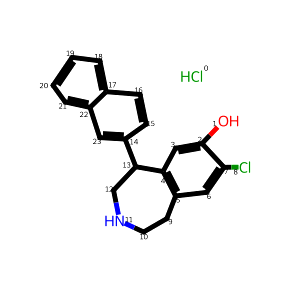 Cl.Oc1cc2c(cc1Cl)CCNCC2c1ccc2ccccc2c1